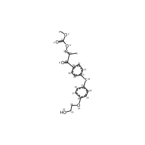 COC(=O)O/N=C(\C)C(=O)c1ccc(Sc2ccc(OCCO)cc2)cc1